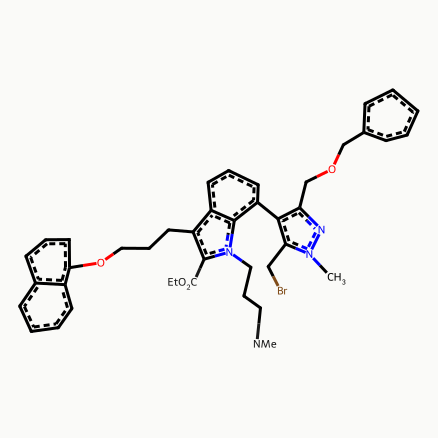 CCOC(=O)c1c(CCCOc2cccc3ccccc23)c2cccc(-c3c(COCc4ccccc4)nn(C)c3CBr)c2n1CCCNC